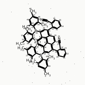 Cc1cc(C)c(B(c2c(C)cc(C)cc2C)c2cc(-c3ccccc3C#N)c3ccc4c(-c5ccccc5C#N)cc(B(c5c(C)cc(C)cc5C)c5c(C)cc(C)cc5C)c5ccc2c3c54)c(C)c1